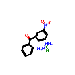 Cl.NN.O=C(c1ccccc1)c1cccc([N+](=O)[O-])c1